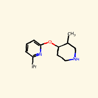 CC(C)c1cccc(OC2CCNCC2C)n1